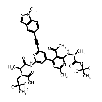 CC(=O)c1c(NN(C)C(=O)OC(C)(C)C)nc(C)nc1-c1cc(C#Cc2ccc3c(cnn3C)c2)nc(NC(=O)C(C)N(CC(C)(C)C)C(=O)O)c1